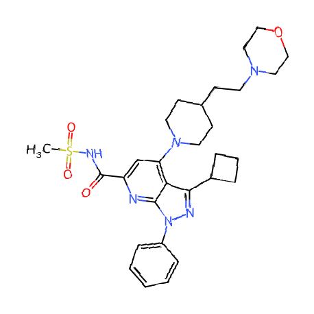 CS(=O)(=O)NC(=O)c1cc(N2CCC(CCN3CCOCC3)CC2)c2c(C3CCC3)nn(-c3ccccc3)c2n1